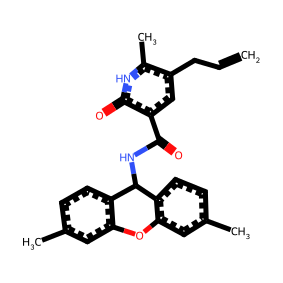 C=CCc1cc(C(=O)NC2c3ccc(C)cc3Oc3cc(C)ccc32)c(=O)[nH]c1C